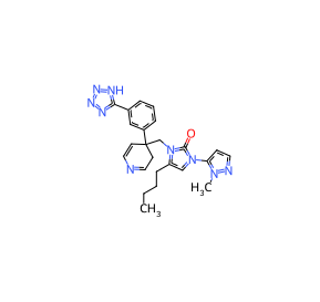 CCCCc1cn(-c2ccnn2C)c(=O)n1CC1(c2cccc(-c3nnn[nH]3)c2)C=CN=CC1